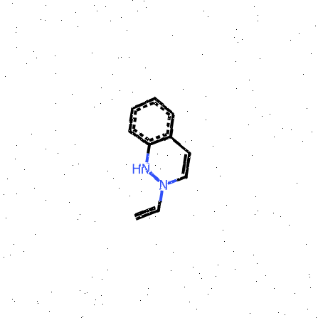 C=CN1C=Cc2ccccc2N1